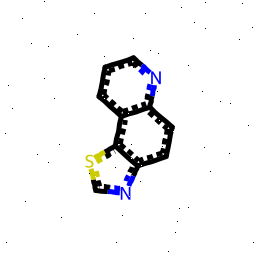 c1cnc2ccc3ncsc3c2c1